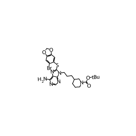 CC(C)(C)OC(=O)N1CCCC(CCCn2c(Sc3cc4c(cc3Br)OCO4)nc3c(N)ncnc32)C1